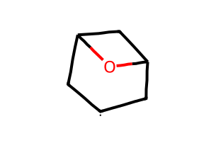 [CH]1CC2CC(C1)O2